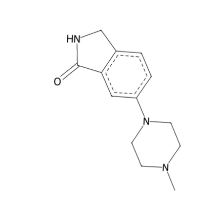 CN1CCN(c2ccc3c(c2)C(=O)NC3)CC1